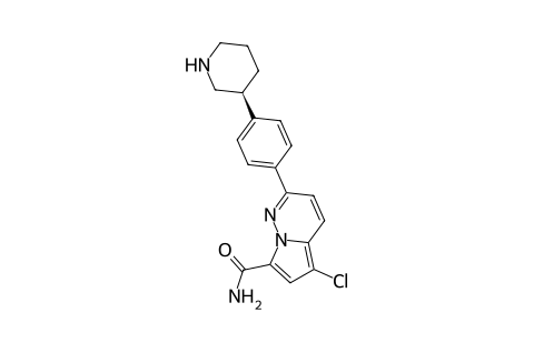 NC(=O)c1cc(Cl)c2ccc(-c3ccc([C@@H]4CCCNC4)cc3)nn12